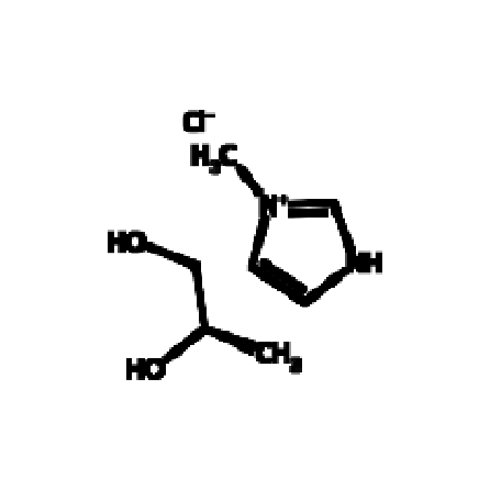 C[C@@H](O)CO.C[n+]1cc[nH]c1.[Cl-]